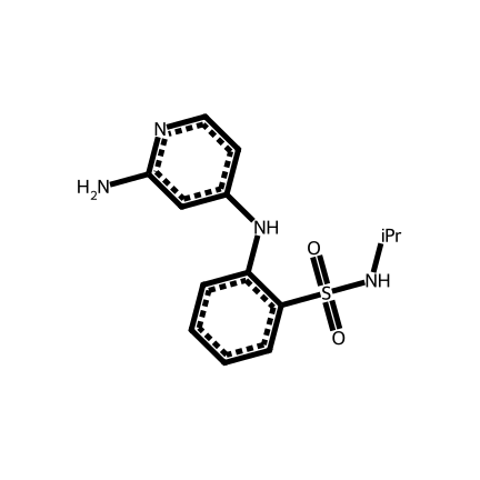 CC(C)NS(=O)(=O)c1ccccc1Nc1ccnc(N)c1